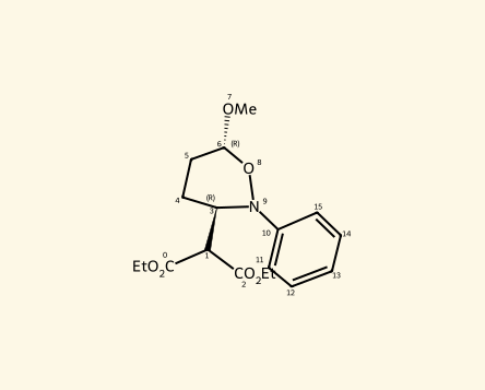 CCOC(=O)C(C(=O)OCC)[C@H]1CC[C@H](OC)ON1c1ccccc1